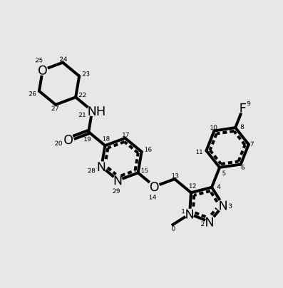 Cn1nnc(-c2ccc(F)cc2)c1COc1ccc(C(=O)NC2CCOCC2)nn1